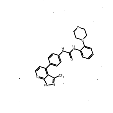 O=C(Nc1ccc(-c2ccnc3[nH]nc(C(F)(F)F)c23)cc1)Nc1ccccc1N1CCOCC1